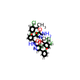 CC(Oc1cc(-c2ccccc2C(O)Nc2ncc(-c3ccccc3F)cc2OC(C)c2c(Cl)ccc(F)c2Cl)cnc1N)c1c(Cl)ccc(F)c1Cl